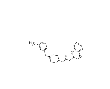 Cc1cccc(CN2CCC(CNCC3COc4ccccc4O3)CC2)c1